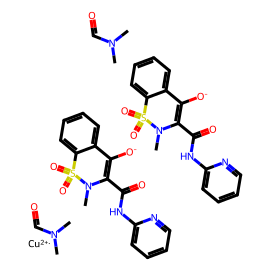 CN(C)C=O.CN(C)C=O.CN1C(C(=O)Nc2ccccn2)=C([O-])c2ccccc2S1(=O)=O.CN1C(C(=O)Nc2ccccn2)=C([O-])c2ccccc2S1(=O)=O.[Cu+2]